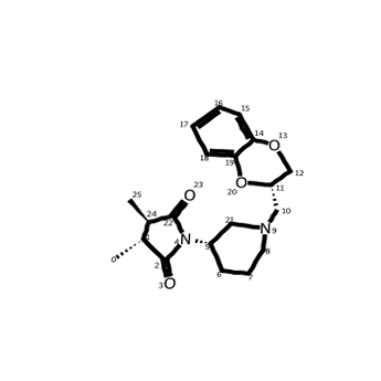 C[C@H]1C(=O)N([C@H]2CCCN(C[C@H]3COc4ccccc4O3)C2)C(=O)[C@@H]1C